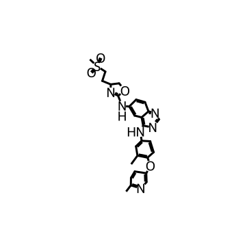 Cc1ccc(Oc2ccc(Nc3ncnc4ccc(NC5=NC(CCS(C)(=O)=O)CO5)cc34)cc2C)cn1